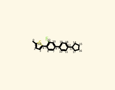 Cc1ccc(-c2ccc(-c3ccc(C4CCCC4)cc3)cc2F)s1